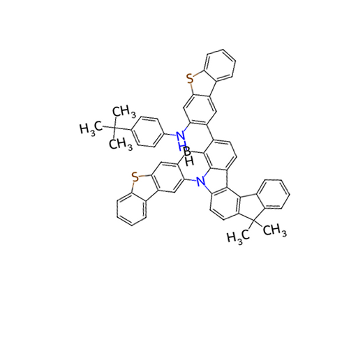 CC(C)(C)c1ccc(Nc2cc3sc4ccccc4c3cc2-c2ccc3c4c5c(ccc4n4c3c2Bc2cc3sc6ccccc6c3cc2-4)C(C)(C)c2ccccc2-5)cc1